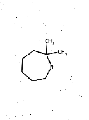 CC1(C)CCCCC[N]1